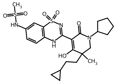 CC1(CCC2CC2)CN(C2CCCC2)C(=O)C(C2=NS(=O)(=O)c3cc(NS(C)(=O)=O)ccc3N2)=C1O